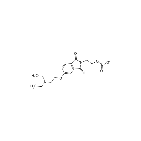 CCN(CC)CCOc1ccc2c(c1)C(=O)N(CCO[N+](=O)[O-])C2=O